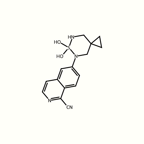 N#Cc1nccc2cc(N3CC4(CC4)CNS3(O)O)ccc12